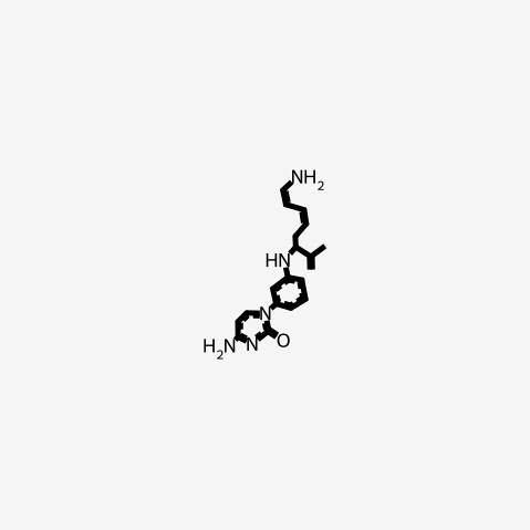 C=C(C)C(C/C=C\C=C/N)Nc1cccc(-n2ccc(N)nc2=O)c1